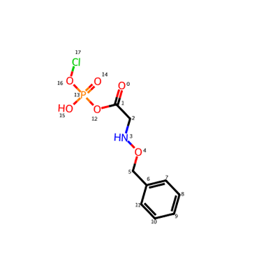 O=C(CNOCc1ccccc1)OP(=O)(O)OCl